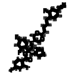 [CH2]c1cc(F)ccc1C(=O)O[C@@](Cn1cncn1)(c1ccc(F)cc1F)[C@@H](C)S[C@H]1CO[C@H](/C=C/C=C/c2ccc(C#N)cc2F)OC1